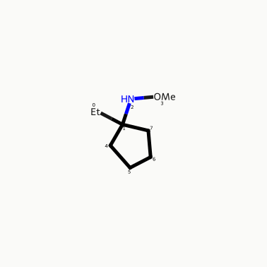 CCC1(NOC)CCCC1